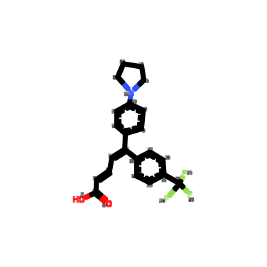 O=C(O)/C=C/C=C(/c1ccc(N2CCCC2)cc1)c1ccc(C(F)(F)F)cc1